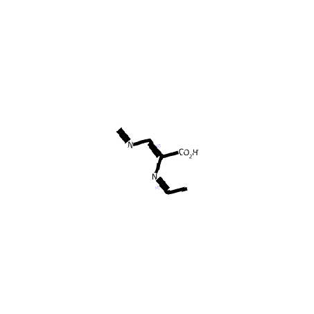 C=N/C=C(\N=C/C)C(=O)O